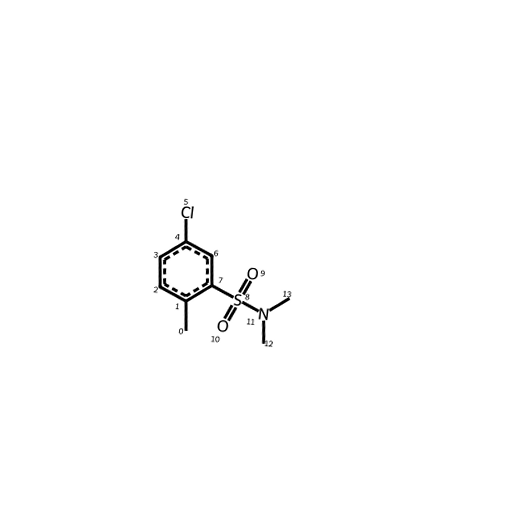 Cc1ccc(Cl)cc1S(=O)(=O)N(C)C